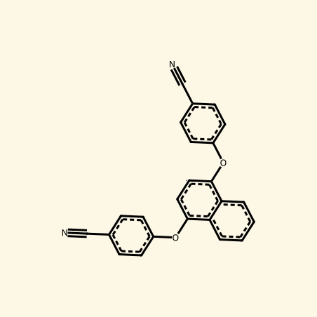 N#Cc1ccc(Oc2[c]cc(Oc3ccc(C#N)cc3)c3ccccc23)cc1